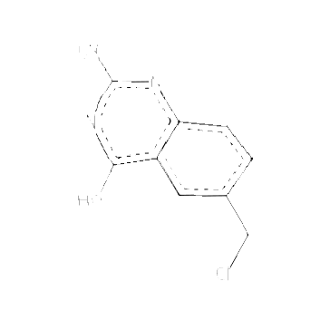 Nc1nc(O)c2cc(CCl)ccc2n1